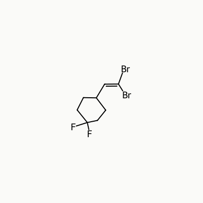 FC1(F)CCC(C=C(Br)Br)CC1